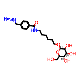 [N-]=[N+]=NCc1ccc(C(=O)NCCCCCCO[C@@H]2OC(CO)[C@@H](O)[C@H](O)C2O)cc1